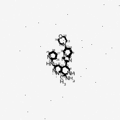 CC1(N)NC=C(c2nc3ccc(N4CCOCC4)cn3n2)c2cc(Nc3ccccn3)nnc21